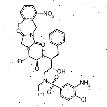 CC(C)CN(C[C@@H](O)[C@H](Cc1ccccc1)NC(=O)[C@H](C(C)C)N1CC(=O)N(Cc2c(F)cccc2[N+](=O)[O-])C1=O)S(=O)(=O)c1ccc(Cl)c(N)c1